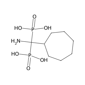 NC(C1CCCCCC1)(P(=O)(O)O)P(=O)(O)O